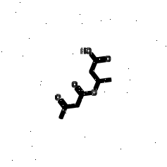 CC(=O)CC(=O)OC(C)CC(=O)O